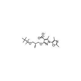 Cc1nc(C)c(-n2nc(OCC(F)CO[Si](C)(C)C(C)(C)C)c([N+](=O)[O-])c2C)o1